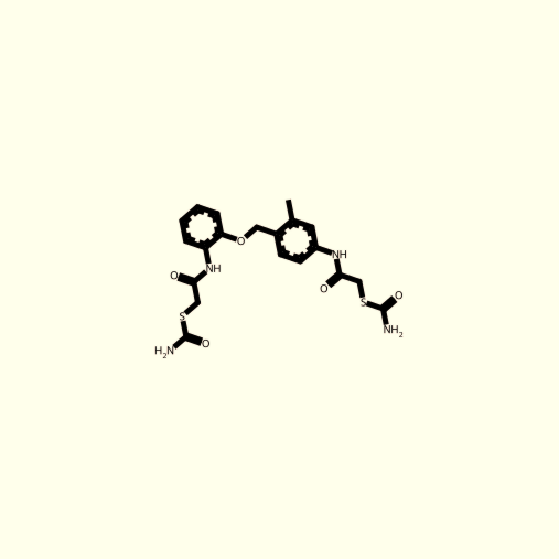 Cc1cc(NC(=O)CSC(N)=O)ccc1COc1ccccc1NC(=O)CSC(N)=O